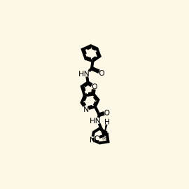 O=C(Nc1cc2cnc(C(=O)N[C@H]3CN4CCC3CC4)cc2o1)c1ccccc1